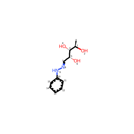 C[C@@H](O)[C@@H](O)[C@H](O)/C=N/Nc1ccccc1